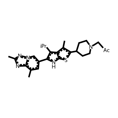 CC(=O)CN1CCC(c2sc3[nH]c(-c4cc(C)c5nc(C)nn5c4)c(C(C)C)c3c2C)CC1